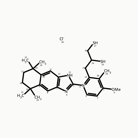 COc1cc[n+](-c2nc3cc4c(cc3[nH]2)C(C)(C)CCC4(C)C)c(CC(S)CS)c1C.[Cl-]